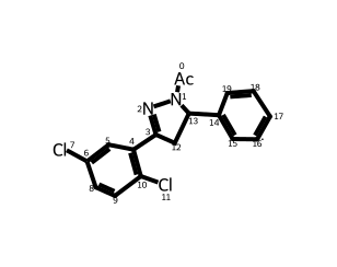 CC(=O)N1N=C(c2cc(Cl)ccc2Cl)CC1c1c[c]ccc1